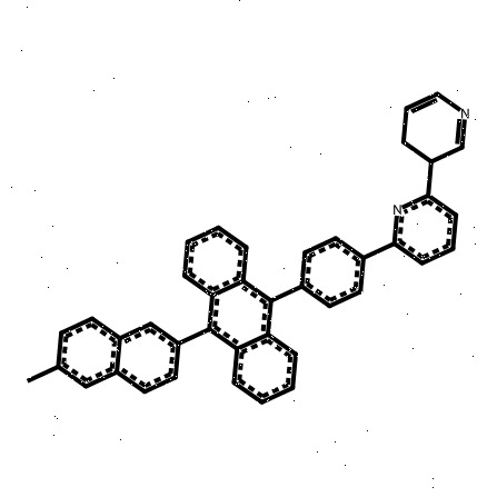 Cc1ccc2cc(-c3c4ccccc4c(-c4ccc(-c5cccc(C6C=NC=CC6)n5)cc4)c4ccccc34)ccc2c1